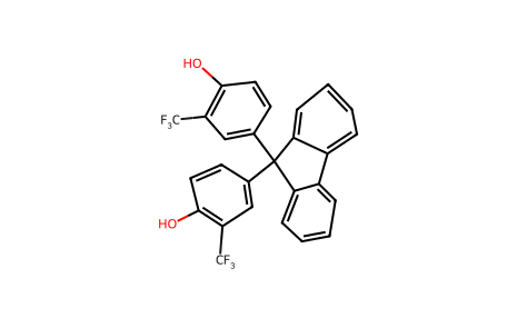 Oc1ccc(C2(c3ccc(O)c(C(F)(F)F)c3)c3ccccc3-c3ccccc32)cc1C(F)(F)F